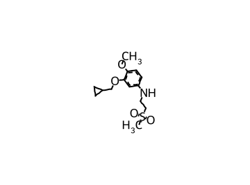 COc1ccc(NCCS(C)(=O)=O)cc1OCC1CC1